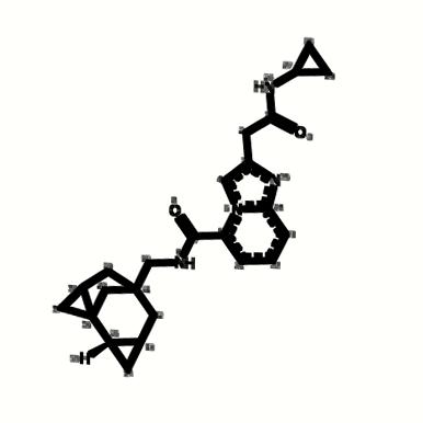 O=C(Cc1cn2c(C(=O)NCC34CC5C[C@@H]5C5(CC5C3)C4)cccc2n1)NC1CC1